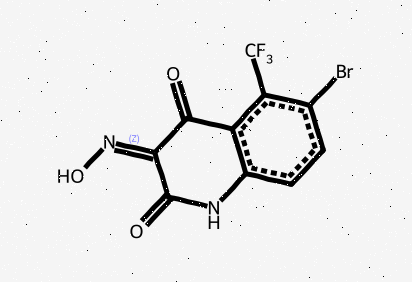 O=C1Nc2ccc(Br)c(C(F)(F)F)c2C(=O)/C1=N/O